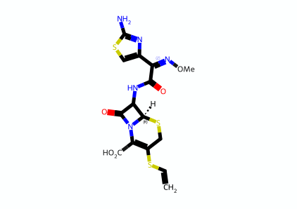 C=CSC1=C(C(=O)O)N2C(=O)C(NC(=O)/C(=N\OC)c3csc(N)n3)[C@H]2SC1